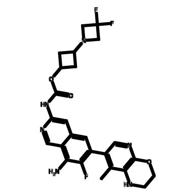 Cc1c(-c2cc3cc(NC(=O)OC4CC(N5CC(F)(F)C5)C4)ncc3c(N)c2F)cnc2c1NCCO2